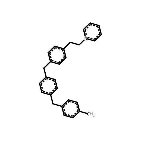 Cc1ccc(Cc2ccc(Cc3ccc(CC[n+]4ccccc4)cc3)cc2)cc1